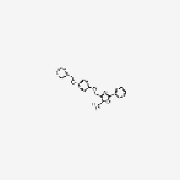 Cc1oc(-c2ccccc2)nc1COc1ccc(OCc2ccccc2)cc1